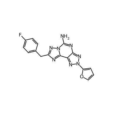 Nc1nc2nn(-c3ccco3)nc2c2nc(Cc3ccc(F)cc3)nn12